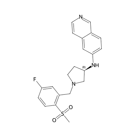 CS(=O)(=O)c1ccc(F)cc1CN1CC[C@@H](Nc2ccc3cnccc3c2)C1